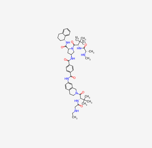 CCNCC(=O)N[C@H](C(=O)N1CCc2ccc(NC(=O)c3ccc(C(=O)N[C@H]4C[C@@H](C(=O)N[C@@H]5CCCc6ccccc65)N(C(=O)[C@@H](NC(=O)[C@H](C)NC)C(C)(C)C)C4)cc3)cc2C1)C(C)(C)C